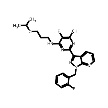 Cc1nc(-c2nn(Cc3ccccc3F)c3ncccc23)nc(NCCCOC(C)C)c1F